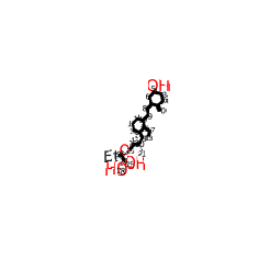 C=C1CC[C@H](O)C/C1=C/C=C1\CCC[C@@]2(C)C1CC[C@@H]2[C@H](C)CCOC(CC)C(O)O